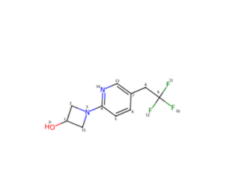 OC1CN(c2ccc(CC(F)(F)F)cn2)C1